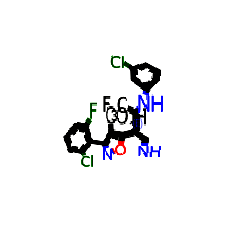 N=C/C(=C(\Nc1cccc(Cl)c1)C(F)(F)F)c1onc(-c2c(F)cccc2Cl)c1C(=O)O